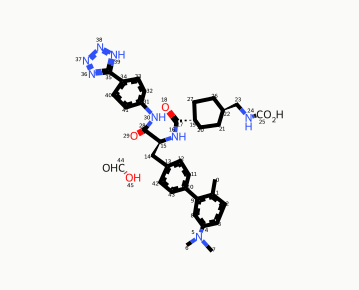 Cc1ccc(N(C)C)cc1-c1ccc(C[C@H](NC(=O)[C@H]2CC[C@H](CNC(=O)O)CC2)C(=O)Nc2ccc(-c3nnn[nH]3)cc2)cc1.O=CO